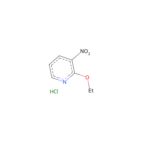 CCOc1ncccc1[N+](=O)[O-].Cl